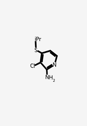 CC(C)Sc1ccnc(N)c1Cl